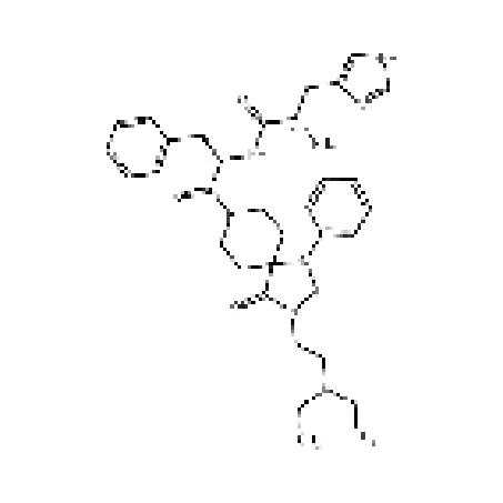 CCN(CC)CCN1CN(c2ccccc2)C2(CCN(C(=O)[C@@H](Cc3ccccc3)NC(=O)[C@@H](N)Cc3c[nH]cn3)CC2)C1=O